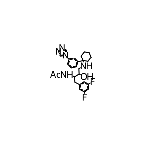 CC(=O)NC(Cc1cc(F)cc(F)c1)C(O)CNC1(c2cccc(-n3cnnc3)c2)CCCCC1